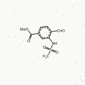 COC(=O)c1ccc(C=O)c(NS(C)(=O)=O)c1